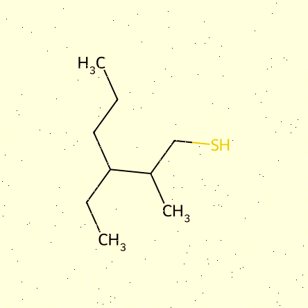 CCCC(CC)C(C)CS